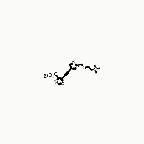 CCOC(=O)c1ncsc1C#Cc1cnn(COCC[Si](C)(C)C)c1